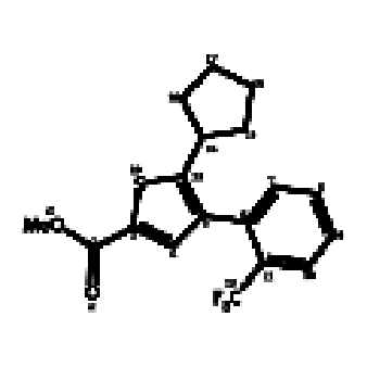 COC(=O)c1cc(-c2ccccc2C(F)(F)F)c(C2CCCC2)s1